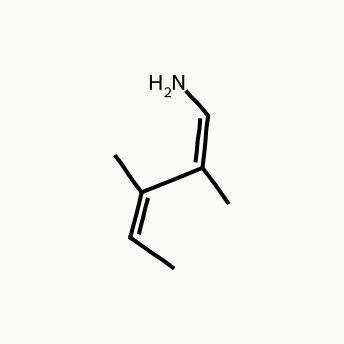 C/C=C(C)\C(C)=C/N